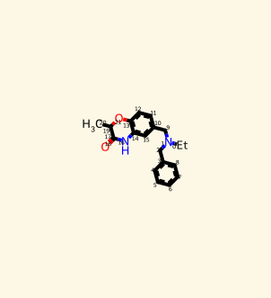 CCN(Cc1ccccc1)Cc1ccc2c(c1)NC(=O)C(C)O2